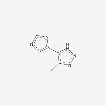 Cc1nn[nH]c1-c1cocn1